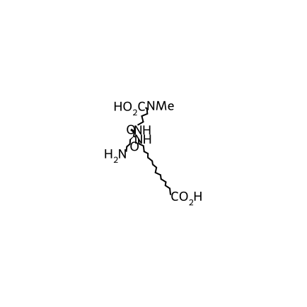 CN[C@@H](CCCCNC(=O)[C@H](CCCCN)NC(=O)CCCCCCCCCCCCCCC(=O)O)C(=O)O